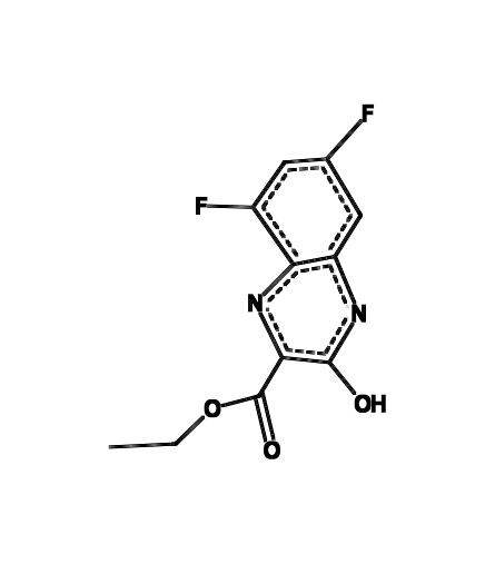 CCOC(=O)c1nc2c(F)cc(F)cc2nc1O